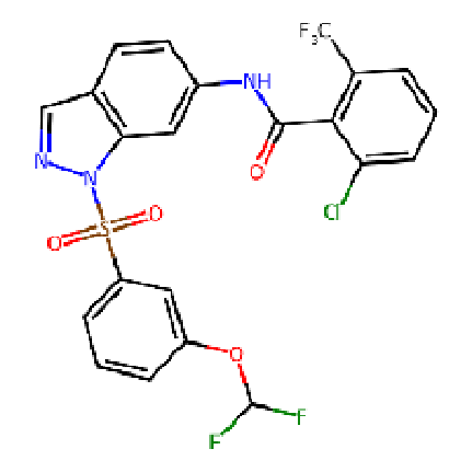 O=C(Nc1ccc2cnn(S(=O)(=O)c3cccc(OC(F)F)c3)c2c1)c1c(Cl)cccc1C(F)(F)F